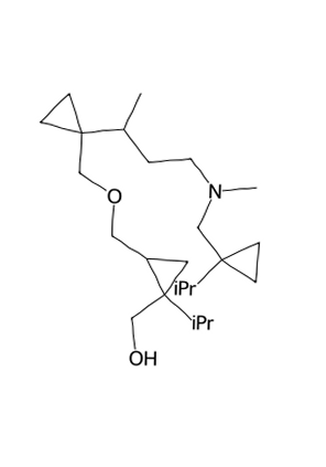 CC(C)C1(CN(C)CCC(C)C2(COCC3CC3(CO)C(C)C)CC2)CC1